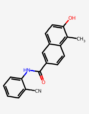 Cc1c(O)ccc2cc(C(=O)Nc3ccccc3C#N)ccc12